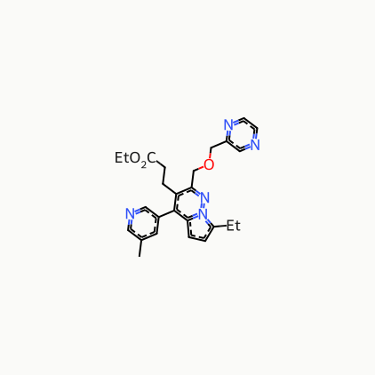 CCOC(=O)CCc1c(COCc2cnccn2)nn2c(CC)ccc2c1-c1cncc(C)c1